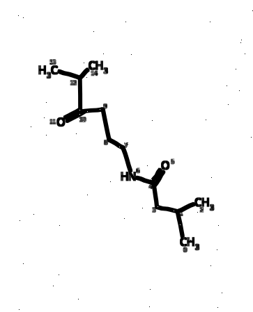 CC(C)CC(=O)NCCCC(=O)C(C)C